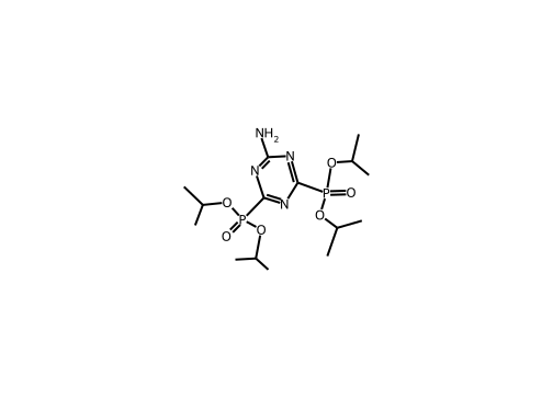 CC(C)OP(=O)(OC(C)C)c1nc(N)nc(P(=O)(OC(C)C)OC(C)C)n1